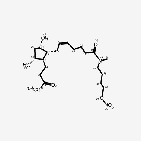 CCCCCCCC(=O)CC[C@@H]1[C@@H](C/C=C\CCCC(=O)N(C)CCCCO[N+](=O)[O-])[C@@H](O)C[C@H]1O